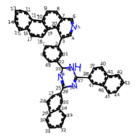 c1cc(-c2cncc3ccc4c5ccccc5ccc4c23)cc(C2N=C(c3ccc4ccccc4c3)N=C(c3ccc4ccccc4c3)N2)c1